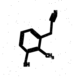 Cc1c(S)cccc1CC#N